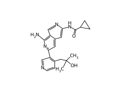 CC(C)(O)Cc1ccncc1-c1cc2cc(NC(=O)C3CC3)ncc2c(N)n1